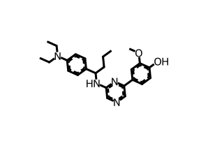 CCCC(Nc1cncc(-c2ccc(O)c(OC)c2)n1)c1ccc(N(CC)CC)cc1